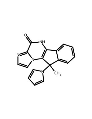 CC1(n2cccc2)c2ccccc2-c2[nH]c(=O)c3nccn3c21